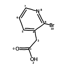 O=C(O)Cc1cccnc1Br